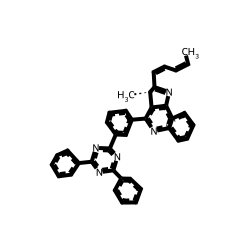 C/C=C\C=C/C1=Nc2c(c(-c3cccc(-c4nc(-c5ccccc5)nc(-c5ccccc5)n4)c3)nc3ccccc23)[C@@H]1C